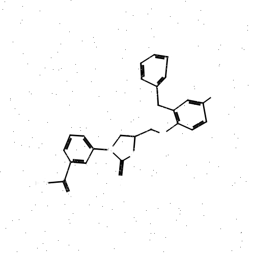 N=C(N)c1cccc(N2CC(COc3ccc(Cl)cc3Cc3ccccc3)OC2=O)c1